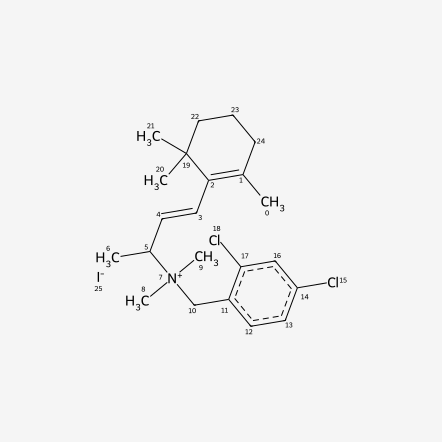 CC1=C(C=CC(C)[N+](C)(C)Cc2ccc(Cl)cc2Cl)C(C)(C)CCC1.[I-]